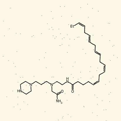 CC/C=C\CC=CCC=CC/C=C\C/C=C\CCCC(=O)NCCN(CCCN1CCNCC1)CC(N)=O